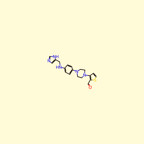 O=Cc1sccc1N1CCN(c2ccc(NCc3cnc[nH]3)cc2)CC1